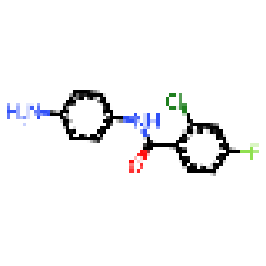 Nc1ccc(NC(=O)c2ccc(F)cc2Cl)cc1